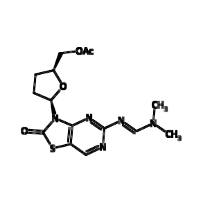 CC(=O)OC[C@@H]1CC[C@H](n2c(=O)sc3cnc(/N=C/N(C)C)nc32)O1